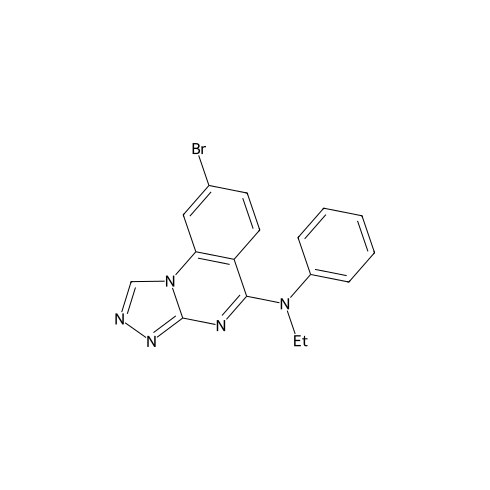 CCN(c1ccccc1)c1nc2nncn2c2cc(Br)ccc12